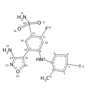 Cc1cc(I)ccc1Nc1cc(F)c(S(N)(=O)=O)cc1-c1conc1N